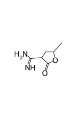 CC1CC(C(=N)N)C(=O)O1